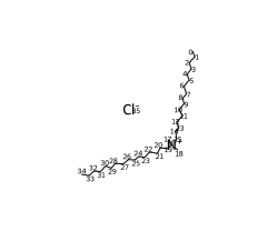 CCCCCCCCCCCCCCCC[N+](C)(C)CCCCCCCCCCCCCCCC.[Cl-]